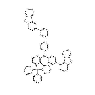 c1ccc(C2(c3ccccc3)c3ccccc3-c3c(N(c4ccc(-c5cccc(-c6ccc7sc8ccccc8c7c6)c5)cc4)c4ccc(-c5cccc6oc7ccccc7c56)cc4)cccc32)cc1